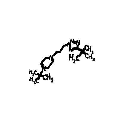 CC(C)(C)c1nnn(CCCN2CCN(C(C)(C)C)CC2)n1